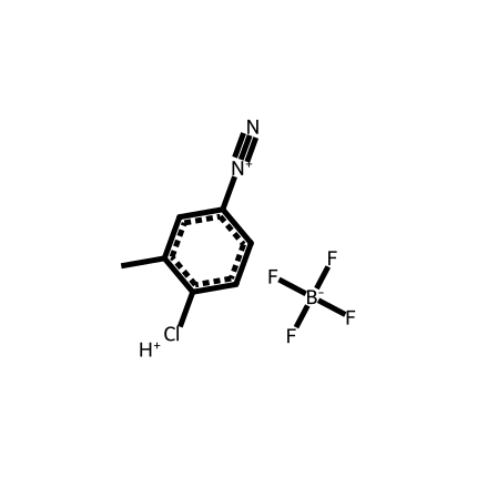 Cc1cc([N+]#N)ccc1Cl.F[B-](F)(F)F.[H+]